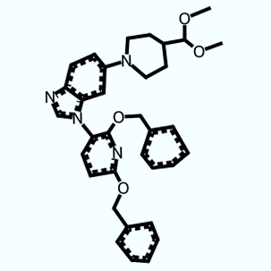 COC(OC)C1CCN(c2ccc3ncn(-c4ccc(OCc5ccccc5)nc4OCc4ccccc4)c3c2)CC1